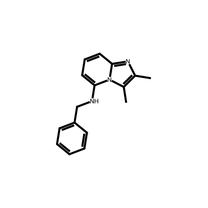 Cc1nc2cccc(NCc3ccccc3)n2c1C